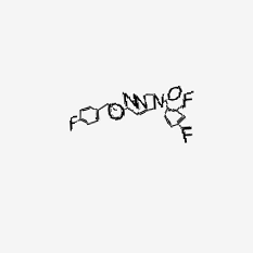 O=C(c1ccc(F)cc1F)N1CCn2nc(OCc3ccc(F)cc3)cc2C1